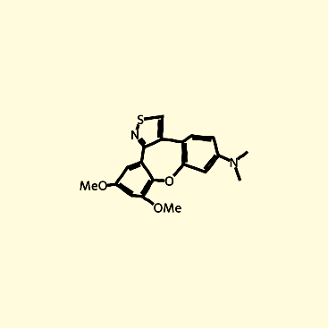 COc1cc(OC)c2c(c1)-c1nscc1-c1ccc(N(C)C)cc1O2